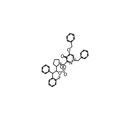 CS(=O)(=O)OC(C(c1ccccc1)c1ccccc1F)C1CCCN1C(=O)c1nn(Cc2ccccc2)cc(OCc2ccccc2)c1=O